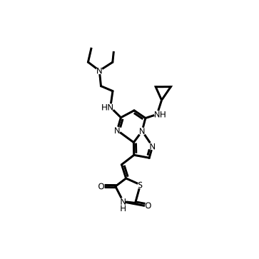 CCN(CC)CCNc1cc(NC2CC2)n2ncc(C=C3SC(=O)NC3=O)c2n1